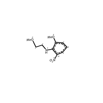 COCCNc1c(OC)cccc1[N+](=O)[O-]